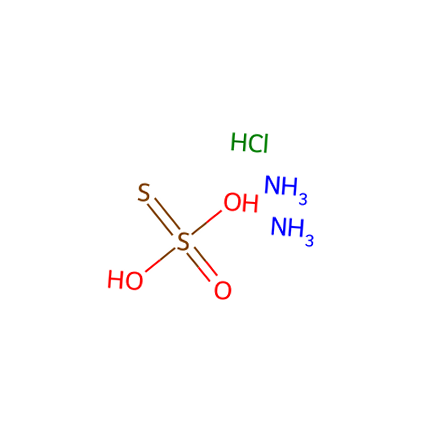 Cl.N.N.O=S(O)(O)=S